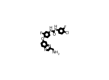 NCc1cnc2ccc(Oc3ccc(NC(=O)Nc4ccc(Cl)c(F)c4)cc3F)cc2n1